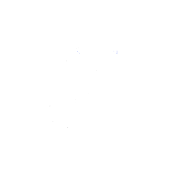 NCc1cc(Cc2ccccc2)ccn1